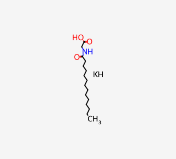 CCCCCCCCCCCCCC(=O)NCC(=O)O.[KH]